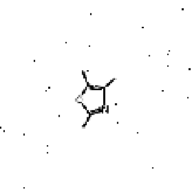 Cc1nc(C)c(I)o1